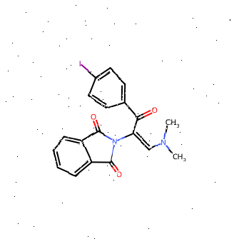 CN(C)/C=C(\C(=O)c1ccc(I)cc1)N1C(=O)c2ccccc2C1=O